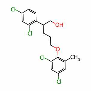 Cc1cc(Cl)cc(Cl)c1OCCCC(CO)c1ccc(Cl)cc1Cl